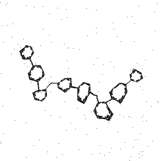 c1ccc(-c2ccc(-c3ccccc3Cc3ccc(-c4ccc(Cc5ccccc5-c5ccc(-c6ccccc6)cc5)cc4)cc3)cc2)cc1